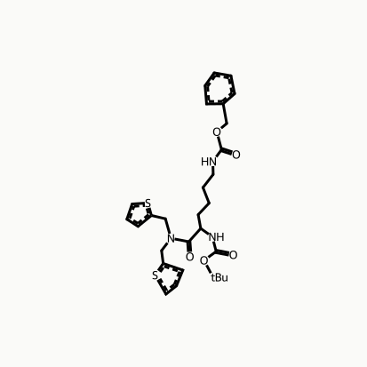 CC(C)(C)OC(=O)NC(CCCCNC(=O)OCc1ccccc1)C(=O)N(Cc1cccs1)Cc1cccs1